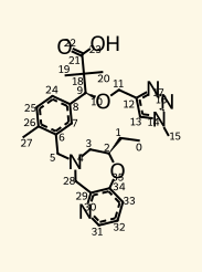 CC[C@@H]1CN(Cc2cc([C@H](OCc3cn(C)nn3)C(C)(C)C(=O)O)ccc2C)Cc2ncccc2O1